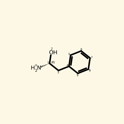 N[C@H](O)Cc1ccccc1